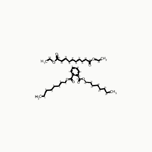 CCCCCCCCOC(=O)c1ccccc1C(=O)OCCCCCCCC.CCOC(=O)CCCCCCCCC(=O)OCC